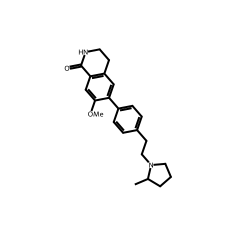 COc1cc2c(cc1-c1ccc(CCN3CCCC3C)cc1)CCNC2=O